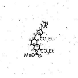 CCOC(=O)C1CC(n2cnnn2)CN1CC1CCC2CN(C(=O)OC)C(C(=O)OCC)CC2C1